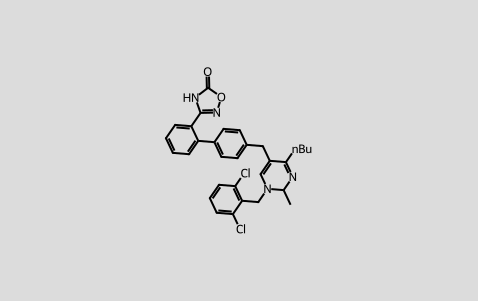 CCCCC1=NC(C)N(Cc2c(Cl)cccc2Cl)C=C1Cc1ccc(-c2ccccc2-c2noc(=O)[nH]2)cc1